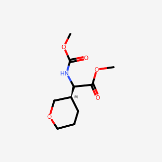 COC(=O)NC(C(=O)OC)[C@H]1CCCOC1